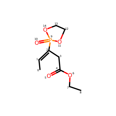 C/C=C(\CC(=O)OCC)P1(=O)OCCO1